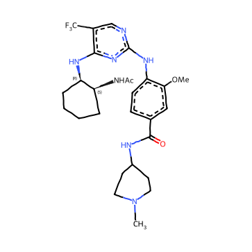 COc1cc(C(=O)NC2CCN(C)CC2)ccc1Nc1ncc(C(F)(F)F)c(N[C@@H]2CCCC[C@@H]2NC(C)=O)n1